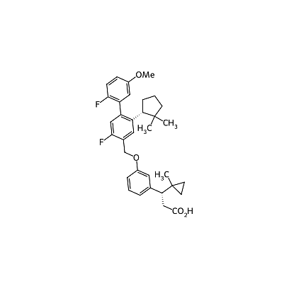 COc1ccc(F)c(-c2cc(F)c(COc3cccc([C@@H](CC(=O)O)C4(C)CC4)c3)cc2[C@@H]2CCCC2(C)C)c1